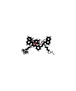 CCCCC[N+]1=C(/C=C/C2=C(Oc3c(I)cc(C)cc3I)C(=C/C=C3/N(CCCCS(=O)(=O)O)c4ccc5ccccc5c4C3(C)C)/CCC2)C(C)(C)c2c1ccc1ccccc21